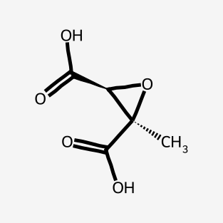 C[C@@]1(C(=O)O)O[C@@H]1C(=O)O